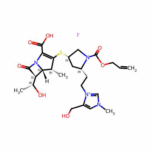 C=CCOC(=O)N1C[C@@H](SC2=C(C(=O)O)N3C(=O)[C@H]([C@@H](C)O)[C@H]3[C@H]2C)C[C@H]1CC[n+]1cn(C)cc1CO.[I-]